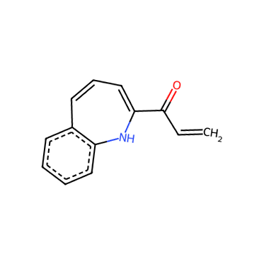 C=CC(=O)C1=CC=Cc2ccccc2N1